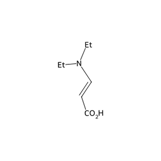 CCN(C=CC(=O)O)CC